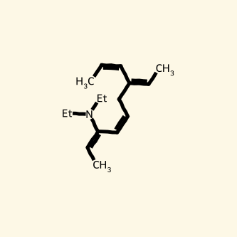 C/C=C\C(=C/C)C/C=C\C(=C/C)N(CC)CC